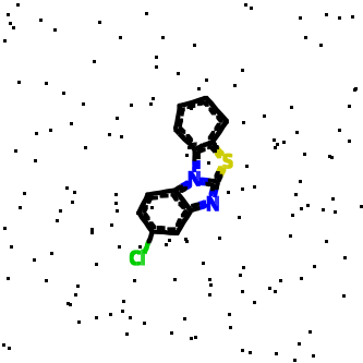 Clc1ccc2c(c1)nc1sc3ccccc3n12